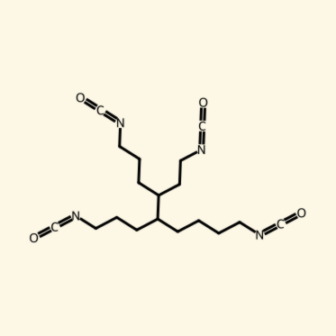 O=C=NCCCCC(CCCN=C=O)C(CCCN=C=O)CCN=C=O